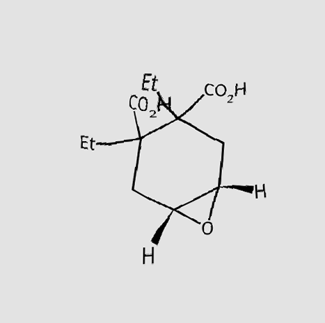 CCC1(C(=O)O)C[C@@H]2O[C@@H]2CC1(CC)C(=O)O